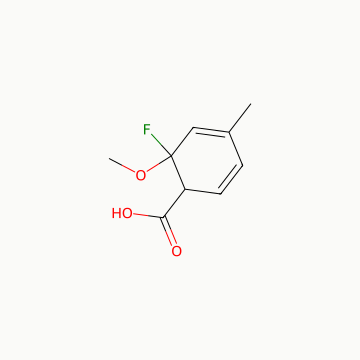 COC1(F)C=C(C)C=CC1C(=O)O